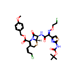 COc1ccc(COC(=O)C2=C(/C=C\CCl)CS[C@H]3[C@H](NC(=O)C(=NOCCF)c4csc(NC(=O)OC(C)(C)C)n4)C(=O)N23)cc1